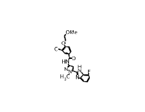 COCCOc1ccc(C(=O)Nc2cc(-c3nc4cccc(F)c4[nH]3)n(C)n2)cc1Cl